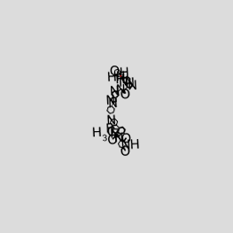 Cn1c(=O)n(C2CCC(=O)NC2=O)c2cccc(C3CCN(C[C@H]4CC[C@H](n5cc6cc(NC(=O)c7cnn8ccc(N9C[C@H]%10C[C@@H]9CO%10)nc78)ncc6n5)CC4)CC3(F)F)c21